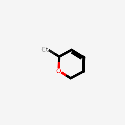 C[CH]C1C=CCCO1